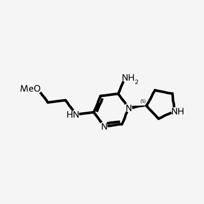 COCCNC1=CC(N)N([C@H]2CCNC2)C=N1